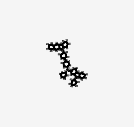 c1ccc(N(c2ccc(-c3ccc(-n4c5ccccc5c5cc6ccccc6cc54)cc3)cc2)c2ccc3c4ccccc4n(-c4ccccc4)c3c2)cc1